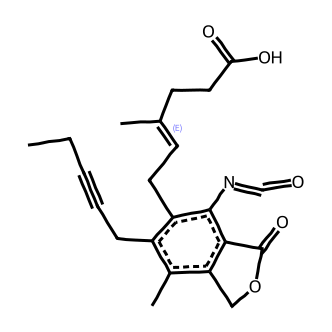 CCC#CCc1c(C)c2c(c(N=C=O)c1C/C=C(\C)CCC(=O)O)C(=O)OC2